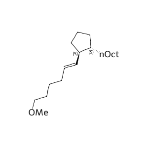 CCCCCCCC[C@H]1CCC[C@@H]1C=CCCCCOC